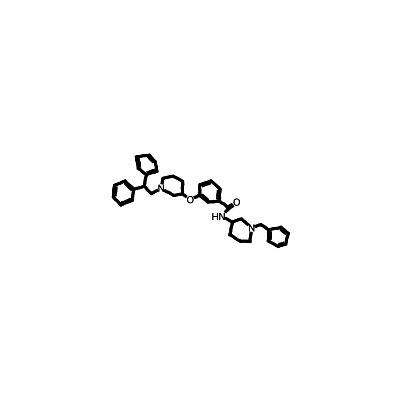 O=C(NC1CCCN(Cc2ccccc2)C1)c1cccc(OC2CCCN(CC(c3ccccc3)c3ccccc3)C2)c1